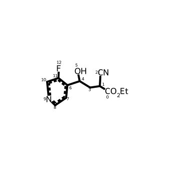 CCOC(=O)C(C#N)CC(O)c1ccncc1F